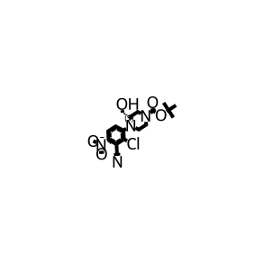 CC(C)(C)OC(=O)N1CCN(c2ccc([N+](=O)[O-])c(C#N)c2Cl)[C@H](CO)C1